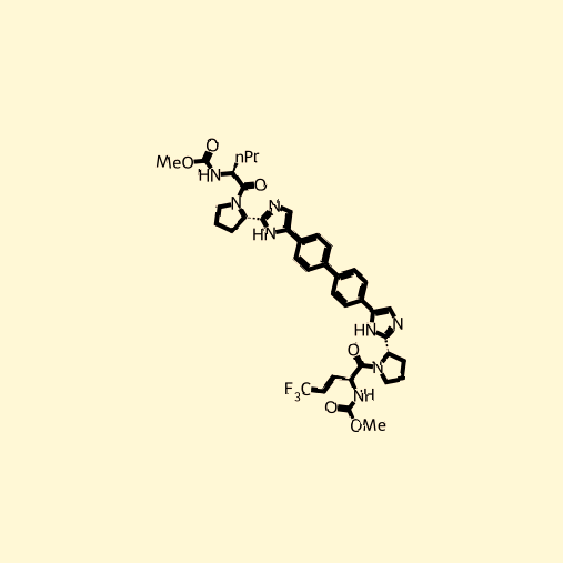 CCC[C@H](NC(=O)OC)C(=O)N1CCC[C@H]1c1ncc(-c2ccc(-c3ccc(-c4cnc([C@@H]5CCCN5C(=O)[C@H](CCC(F)(F)F)NC(=O)OC)[nH]4)cc3)cc2)[nH]1